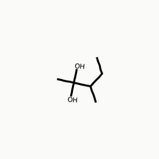 CCC(C)C(C)(O)O